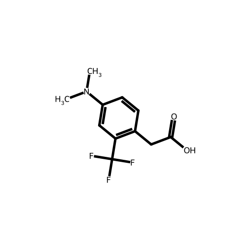 CN(C)c1ccc(CC(=O)O)c(C(F)(F)F)c1